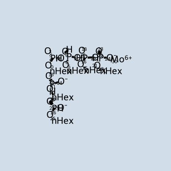 CCCCCCO[PH](=O)[O-].CCCCCCO[PH](=O)[O-].CCCCCCO[PH](=O)[O-].CCCCCCO[PH](=O)[O-].CCCCCCO[PH](=O)[O-].CCCCCCO[PH](=O)[O-].[Mo+6]